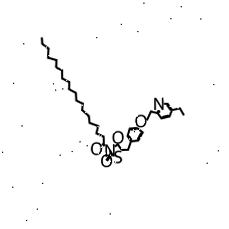 CCCCCCCCCCCCCCCCCCCC(=O)N1C(=O)SC(Cc2ccc(OCCc3ccc(CC)cn3)cc2)C1=O